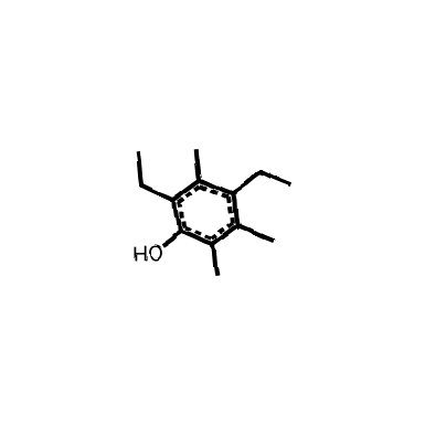 CCc1c(C)c(C)c(O)c(CC)c1C